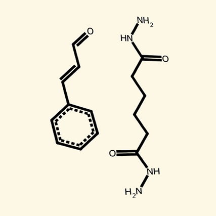 NNC(=O)CCCCC(=O)NN.O=CC=Cc1ccccc1